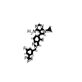 Nc1ncnc2c1c(-c1ccc3nn(Cc4cc(F)cc(C(F)(F)F)c4)cc3c1F)cn2C1CC1